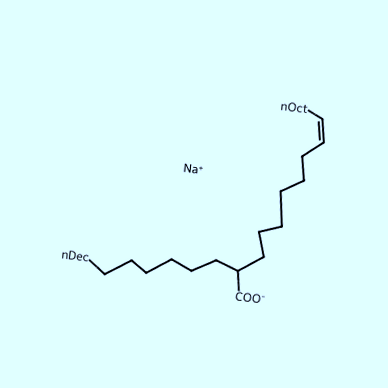 CCCCCCCC/C=C\CCCCCCC(CCCCCCCCCCCCCCCC)C(=O)[O-].[Na+]